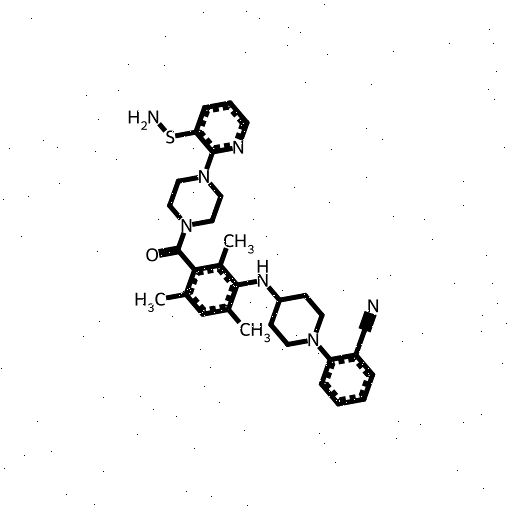 Cc1cc(C)c(C(=O)N2CCN(c3ncccc3SN)CC2)c(C)c1NC1CCN(c2ccccc2C#N)CC1